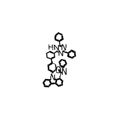 C1=C(C2=CC=C(n3c4ccccc4c4cccc(-c5nc6ccccc6o5)c43)CC2)CCC=C1C1N=C(c2ccccc2)N=C(c2ccccc2)N1